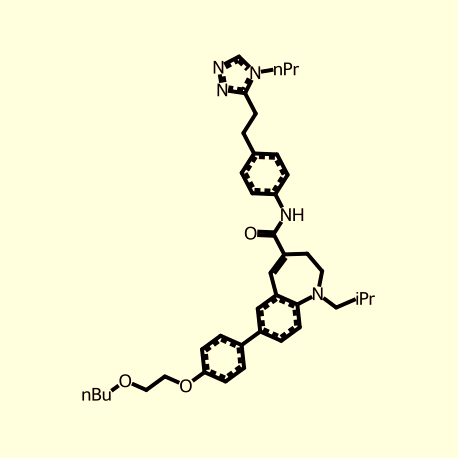 CCCCOCCOc1ccc(-c2ccc3c(c2)C=C(C(=O)Nc2ccc(CCc4nncn4CCC)cc2)CCN3CC(C)C)cc1